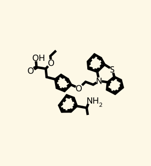 CC(N)c1ccccc1.CCOC(Cc1ccc(OCCN2c3ccccc3Sc3ccccc32)cc1)C(=O)O